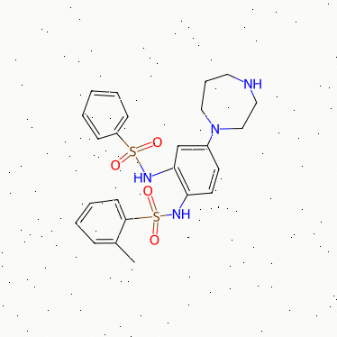 Cc1ccccc1S(=O)(=O)Nc1ccc(N2CCCNCC2)cc1NS(=O)(=O)c1ccccc1